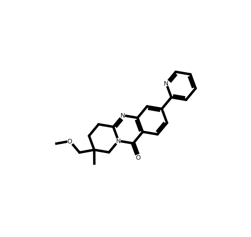 COCC1(C)CCc2nc3cc(-c4ccccn4)ccc3c(=O)n2C1